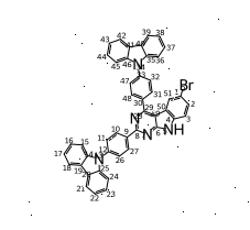 Brc1ccc2[nH]c3nc(-c4ccc(-n5c6ccccc6c6ccccc65)cc4)nc(-c4ccc(-n5c6ccccc6c6ccccc65)cc4)c3c2c1